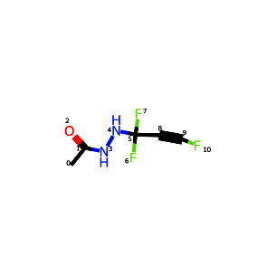 CC(=O)NNC(F)(F)C#CF